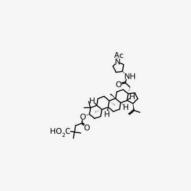 C=C(C)[C@@H]1CC[C@]2(CC(=O)N[C@@H]3CCN(C(C)=O)C3)CC[C@]3(C)[C@H](CC[C@@H]4[C@@]5(C)CC[C@H](OC(=O)CC(C)(C)C(=O)O)C(C)(C)[C@@H]5CC[C@]43C)[C@@H]12